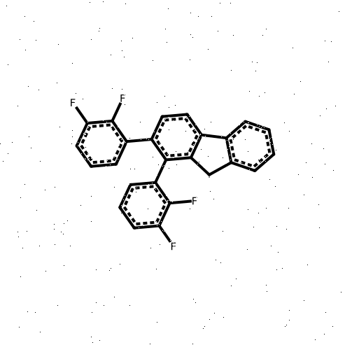 Fc1cccc(-c2ccc3c(c2-c2cccc(F)c2F)[CH]c2ccccc2-3)c1F